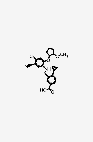 COC1CCCC1Oc1cc(Cl)c(C#N)cc1NSc1cc(C(=O)O)ccc1C1CC1